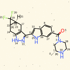 C[C@@H]1CN(C(=O)c2ccc3cc(-c4n[nH]c5c4C[C@@H]4C(F)(F)[C@]4(C)C5)[nH]c3c2)CCN1